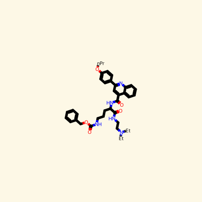 CCCOc1ccc(-c2cc(C(=O)NC(CCCNC(=O)OCc3ccccc3)C(=O)NCCN(CC)CC)c3ccccc3n2)cc1